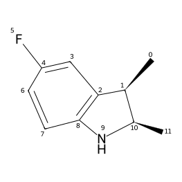 C[C@@H]1c2cc(F)ccc2N[C@@H]1C